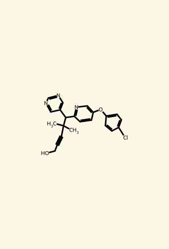 CC(C)(C#CCO)C(c1cncnc1)c1ccc(Oc2ccc(Cl)cc2)cn1